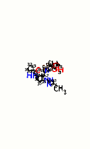 CCc1cnc(N(CCc2csc(SC(C)(C)C(=O)O)n2)Cc2ccc(NC(=O)C3CCCC3)cc2)nc1